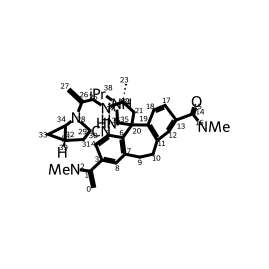 C=C(NC)c1ccc2c(c1)CCc1cc(C(=O)NC)ccc1C2(C[C@@H](C)NCC(=C)N1C(C#N)C[C@@H]2CC21)C(=N)NC(C)C